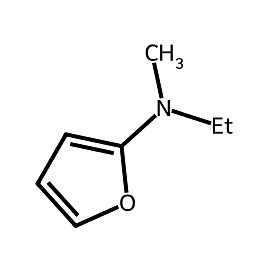 CCN(C)c1ccco1